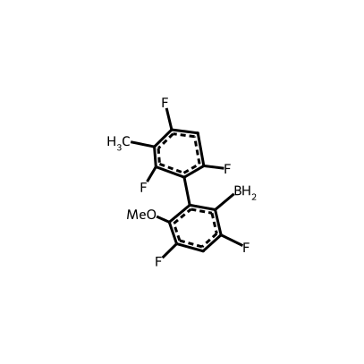 Bc1c(F)cc(F)c(OC)c1-c1c(F)cc(F)c(C)c1F